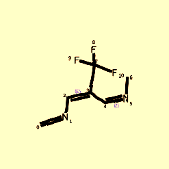 C=N/C=C(\C=N/C)C(F)(F)F